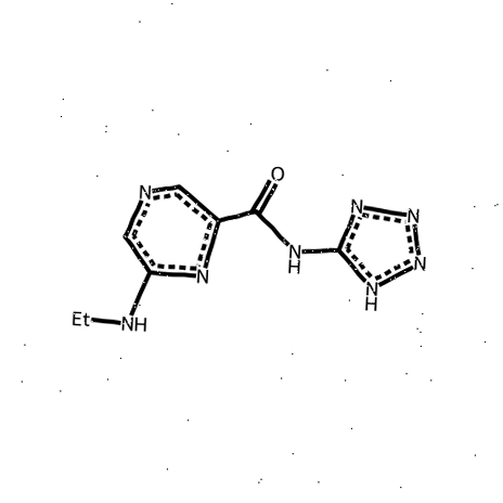 CCNc1cncc(C(=O)Nc2nnn[nH]2)n1